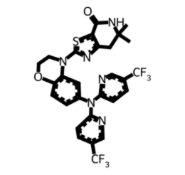 CC1(C)Cc2nc(N3CCOc4ccc(N(c5ccc(C(F)(F)F)cn5)c5ccc(C(F)(F)F)cn5)cc43)sc2C(=O)N1